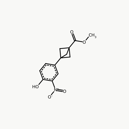 COC(=O)C12CC(c3ccc(O)c([N+](=O)[O-])c3)(C1)C2